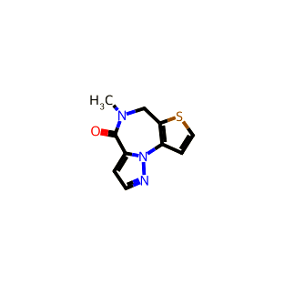 CN1Cc2sccc2-n2nccc2C1=O